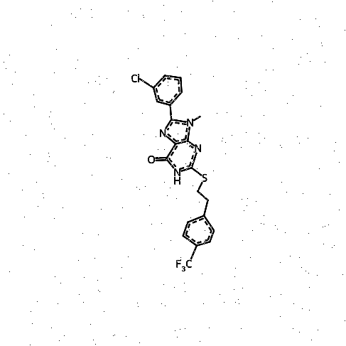 Cn1c(-c2cccc(Cl)c2)nc2c(=O)[nH]c(SCCc3ccc(C(F)(F)F)cc3)nc21